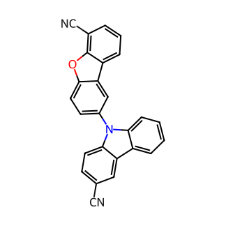 N#Cc1ccc2c(c1)c1ccccc1n2-c1ccc2oc3c(C#N)cccc3c2c1